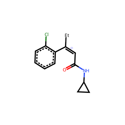 CC/C(=C/C(=O)NC1CC1)c1ccccc1Cl